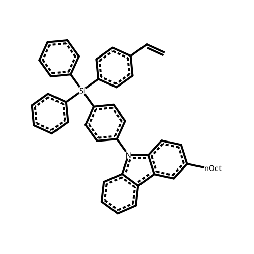 C=Cc1ccc([Si](c2ccccc2)(c2ccccc2)c2ccc(-n3c4ccccc4c4cc(CCCCCCCC)ccc43)cc2)cc1